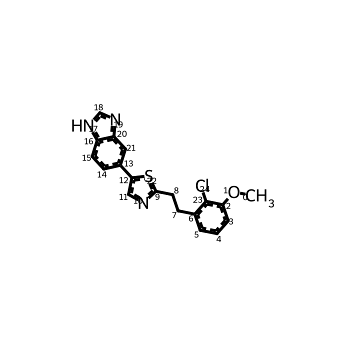 COc1cccc(CCc2ncc(-c3ccc4[nH]cnc4c3)s2)c1Cl